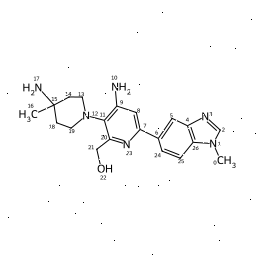 Cn1cnc2cc(-c3cc(N)c(N4CCC(C)(N)CC4)c(CO)n3)ccc21